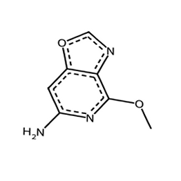 COc1nc(N)cc2ocnc12